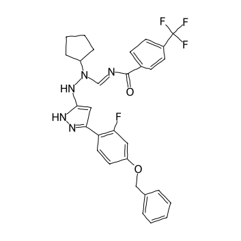 O=C(N=CN(Nc1cc(-c2ccc(OCc3ccccc3)cc2F)n[nH]1)C1CCCC1)c1ccc(C(F)(F)F)cc1